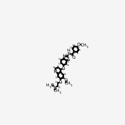 COc1ccc(C(=O)Nc2nc3ccc(Oc4ccnc5cc(OCCN(C)C)c(OC)cc45)cc3s2)cc1